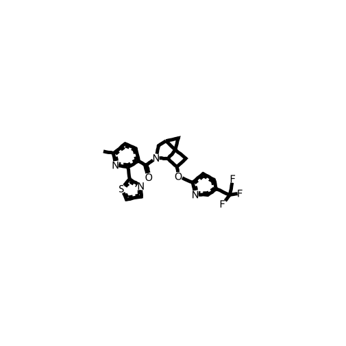 Cc1ccc(C(=O)N2CC3CC34CC(Oc3ccc(C(F)(F)F)cn3)C24)c(-c2nccs2)n1